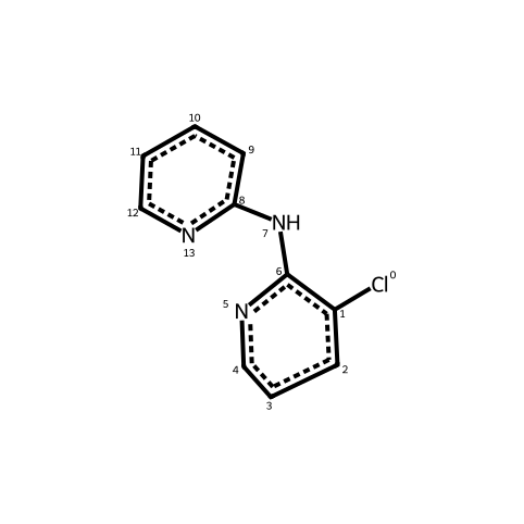 Clc1cccnc1Nc1ccccn1